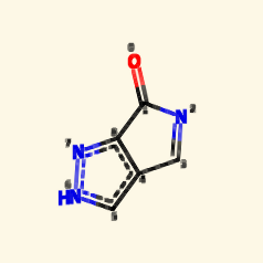 O=C1N=Cc2c[nH]nc21